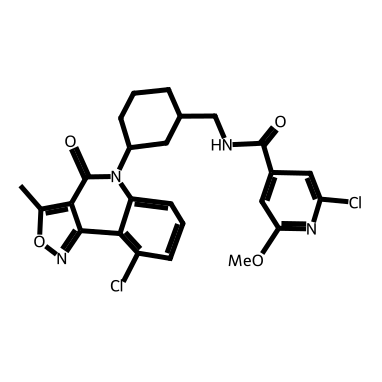 COc1cc(C(=O)NCC2CCCC(n3c(=O)c4c(C)onc4c4c(Cl)cccc43)C2)cc(Cl)n1